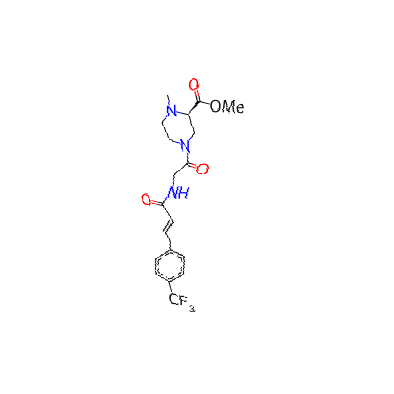 COC(=O)[C@H]1CN(C(=O)CNC(=O)/C=C/c2ccc(C(F)(F)F)cc2)CCN1C